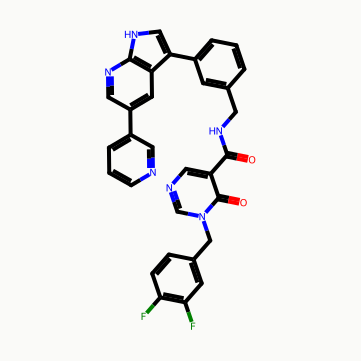 O=C(NCc1cccc(-c2c[nH]c3ncc(-c4cccnc4)cc23)c1)c1cncn(Cc2ccc(F)c(F)c2)c1=O